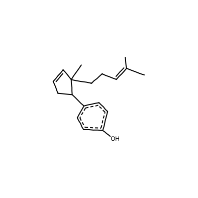 CC(C)=CCCC1(C)C=CCC1c1ccc(O)cc1